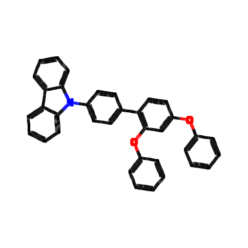 c1ccc(Oc2ccc(-c3ccc(-n4c5ccccc5c5ccccc54)cc3)c(Oc3ccccc3)c2)cc1